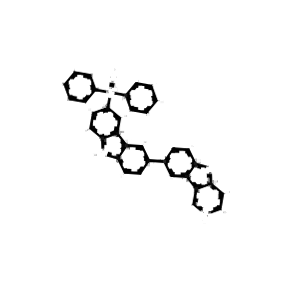 O=P(c1ccccc1)(c1ccccc1)c1ccc2sc3ccc(-c4ccc5sc6ccncc6c5c4)cc3c2c1